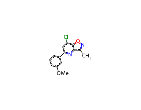 COc1cccc(-c2cc(Cl)c3onc(C)c3n2)c1